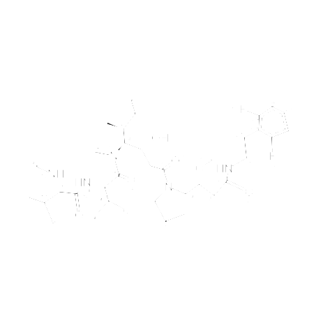 CC[C@H](C)[C@@H]([C@H](O)CC(=O)N1CCC[C@H]1[C@H](OC)[C@@H](C)C(=O)NCCc1c(F)cccc1F)N(C)C(=O)[C@@H](NC(=O)[C@@H](NC)C(C)C)C(C)C